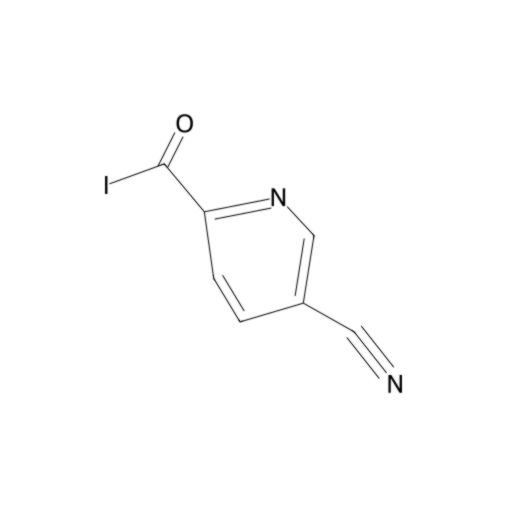 N#Cc1ccc(C(=O)I)nc1